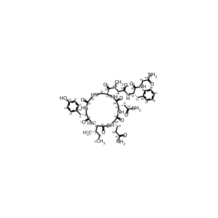 CC[C@H](C)[C@@H]1NC(=O)[C@H](Cc2ccc(O)cc2)NC(=O)CNC[C@@H](C(=O)N(C)CC(=O)N[C@@H](Cc2ccccc2)C(=O)NCC(N)=O)NC(=O)[C@H](CC(N)=O)NC(=O)[C@H](CCC(N)=O)NC1=O